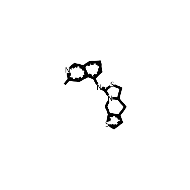 Cc1cc2c(N=C3SCC4Cc5ccsc5CN34)cccc2cn1